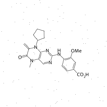 C=C1C(=O)N(C)c2cnc(Nc3ccc(C(=O)O)cc3OC)nc2N1C1CCCC1